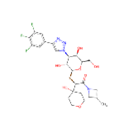 CC1CN(C(=O)[C@H](S[C@@H]2O[C@H](CO)[C@H](O)[C@H](n3cc(-c4cc(F)c(F)c(F)c4)nn3)[C@H]2O)C2(O)CCOCC2)C1